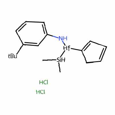 C[SiH](C)[Hf]([NH]c1cccc(C(C)(C)C)c1)[C]1=CC=CC1.Cl.Cl